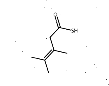 CC(C)=C(C)CC(=O)S